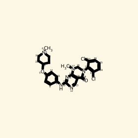 CN1CCC(Oc2ccc(Nc3ncc4c(n3)N(C)CN(c3c(Cl)cccc3Cl)C4=O)cc2)CC1